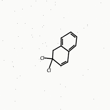 ClC1(Cl)[C]=Cc2ccccc2C1